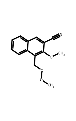 COOCc1c(OC)c(C#N)cc2ccccc12